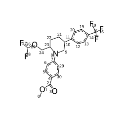 COC(=O)c1ccc(N2CC(c3ccc(C(F)(F)F)cc3)CCC2COC(F)F)cc1